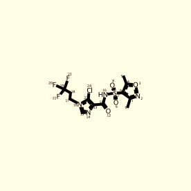 Cc1noc(C)c1S(=O)(=O)NC(=O)c1ncn(CCC(F)(F)F)c1Cl